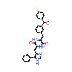 O=C(c1ccc(F)cc1)c1cccc(C=c2[nH]c(=O)c(=Cc3nc[nH]c3-c3ccccc3)[nH]c2=O)c1